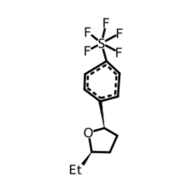 CC[C@@H]1CC[C@H](c2ccc(S(F)(F)(F)(F)F)cc2)O1